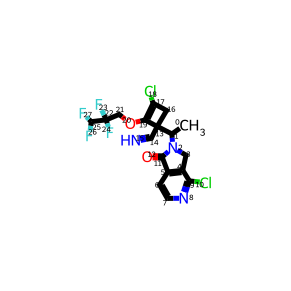 CC(N1Cc2c(ccnc2Cl)C1=O)C1(C=N)CC(Cl)=C1OCC(F)(F)C(F)F